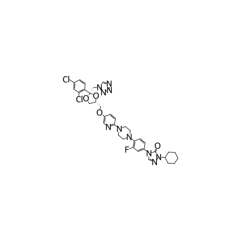 O=c1n(-c2ccc(N3CCN(c4ccc(OC[C@@H]5CO[C@@](Cn6cnnn6)(c6ccc(Cl)cc6Cl)O5)cn4)CC3)c(F)c2)cnn1C1CCCCC1